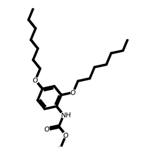 [CH2]OC(=O)Nc1ccc(OCCCCCCC)cc1OCCCCCCC